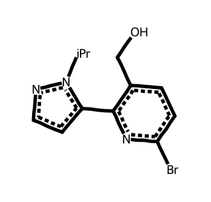 CC(C)n1nccc1-c1nc(Br)ccc1CO